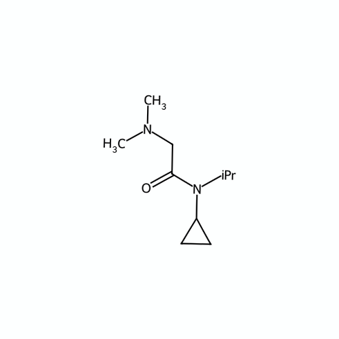 CC(C)N(C(=O)CN(C)C)C1CC1